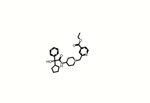 CCOC(=O)c1ccnc(CN2CCC(NC(=O)C(O)(c3ccccc3)C3CCCC3)CC2)c1